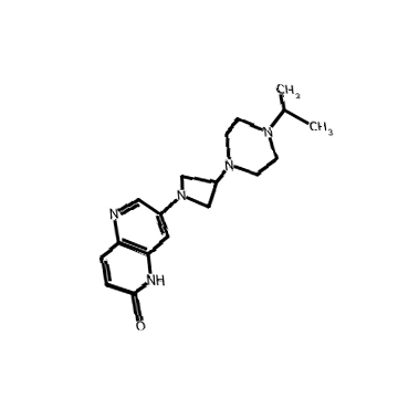 CC(C)N1CCN(C2CN(c3cnc4ccc(=O)[nH]c4c3)C2)CC1